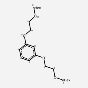 CCCCCCOCCOc1cccc(OCCOCCCCCC)c1